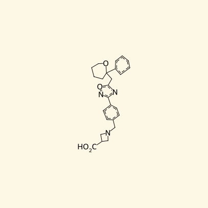 O=C(O)C1CN(Cc2ccc(-c3noc(CC4(c5ccccc5)CCCCO4)n3)cc2)C1